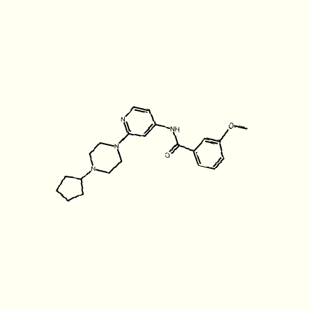 COc1cccc(C(=O)Nc2ccnc(N3CCN(C4CCCC4)CC3)c2)c1